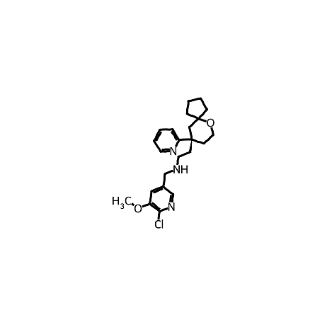 COc1cc(CNCC[C@]2(c3ccccn3)CCOC3(CCCC3)C2)cnc1Cl